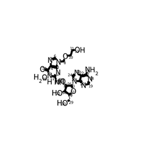 Nc1nc2c(ncn2COCCO)c(=O)[nH]1.Nc1ncnc2c1ncn2[C@@H]1O[C@H](CO)[C@@H](O)[C@@H]1O.O